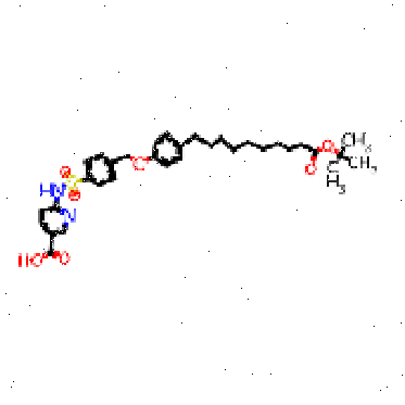 CC(C)(C)OC(=O)CCCCCCCCCc1ccc(OCc2ccc(S(=O)(=O)Nc3ccc(C(=O)O)cn3)cc2)cc1